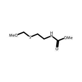 COCSCCNC(=O)OC